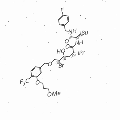 CC[C@H](C)[C@H](NC(=O)[C@@H](C[C@H](O)[C@@H](Br)COCc1ccc(C(F)(F)F)c(OCCCOC)c1)C(C)C)C(=O)NCc1ccc(F)cc1